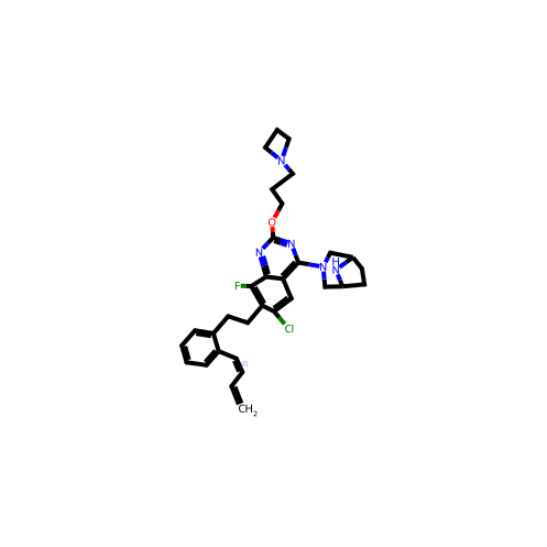 C=C/C=C\c1ccccc1CCc1c(Cl)cc2c(N3CC4CCC(C3)N4)nc(OCCCN3CCC3)nc2c1F